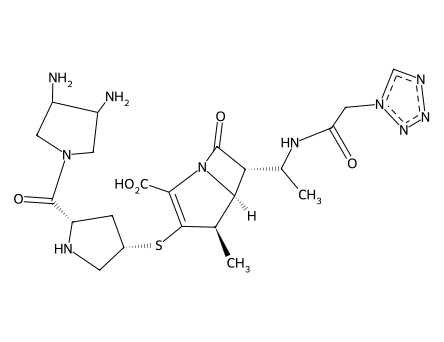 CC(NC(=O)Cn1cnnn1)[C@H]1C(=O)N2C(C(=O)O)=C(S[C@@H]3CN[C@H](C(=O)N4CC(N)C(N)C4)C3)[C@H](C)[C@H]12